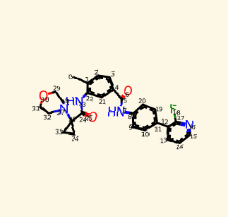 Cc1ccc(C(=O)Nc2ccc(-c3cccnc3F)cc2)cc1NC(=O)C1(N2CCOCC2)CC1